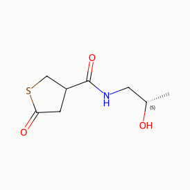 C[C@H](O)CNC(=O)C1CSC(=O)C1